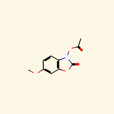 COc1ccc2c(c1)oc(=O)n2OC(C)=O